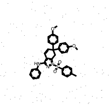 COc1ccc(C2(c3ccc(OC)cc3)C=Cc3c(Nc4ccccc4)nn(S(=O)(=O)c4ccc(C)cc4)c3C2)cc1